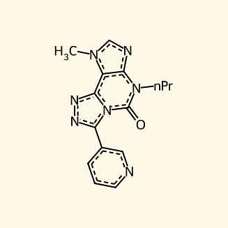 CCCn1c(=O)n2c(-c3cccnc3)nnc2c2c1ncn2C